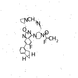 C=C(F)C(=O)N1CCN(c2nc(OC[C@@H]3CCCN3C)nc3cc(-c4cccc5c4C[C@H]4C[C@@H]54)c(F)cc23)C[C@@H]1CC#N